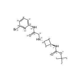 CC(C)(C)OC(=O)N[C@H]1C[C@H](NCC(=O)Nc2cccc(Br)n2)C1